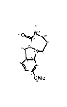 COc1ccc2c(c1)N1CCCN(C)C(=O)C1C2